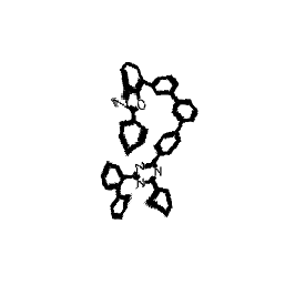 c1ccc(-c2nc(-c3ccc(-c4cccc(-c5cccc(-c6cccc7nc(-c8ccccc8)oc67)c5)c4)cc3)nc(-c3ccccc3-c3ccccc3)n2)cc1